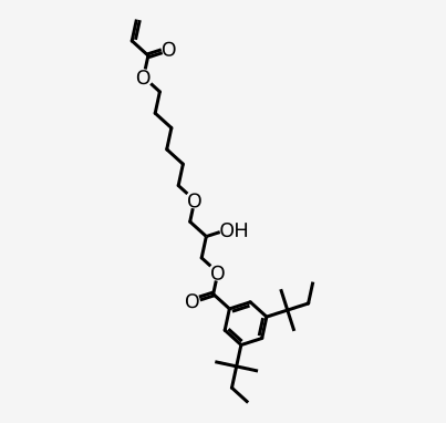 C=CC(=O)OCCCCCCOCC(O)COC(=O)c1cc(C(C)(C)CC)cc(C(C)(C)CC)c1